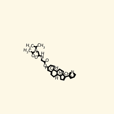 CC(=O)N(CC(=O)NCC(=O)O[C@H]1CC[C@@]2(C)C(=CC[C@@H]3[C@@H]2CC[C@]2(C)C(c4cccnc4)=CC[C@@H]32)C1)C(C)C